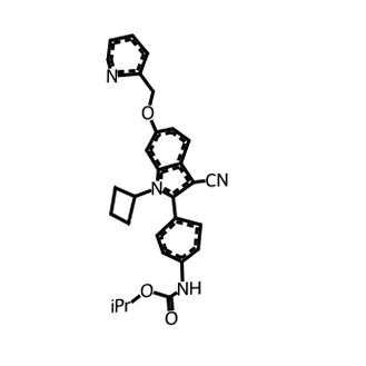 CC(C)OC(=O)Nc1ccc(-c2c(C#N)c3ccc(OCc4ccccn4)cc3n2C2CCC2)cc1